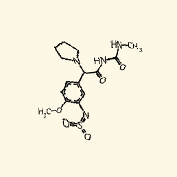 CNC(=O)NC(=O)C(c1ccc(OC)c(N=S(=O)=O)c1)N1CCCC1